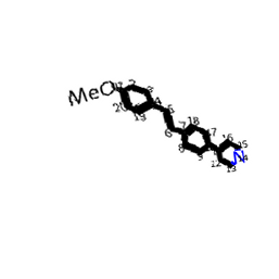 COc1ccc(C=Cc2ccc(-c3ccncc3)cc2)cc1